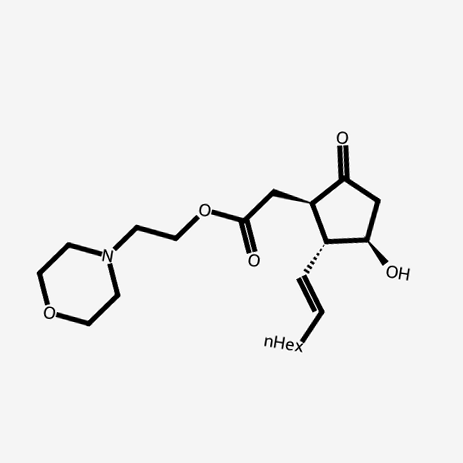 CCCCCC/C=C/[C@H]1[C@H](O)CC(=O)[C@@H]1CC(=O)OCCN1CCOCC1